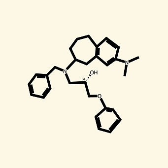 CN(C)c1ccc2c(c1)CC(N(Cc1ccccc1)C[C@H](O)COc1ccccc1)CCC2